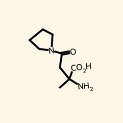 CC(N)(CC(=O)N1CCCC1)C(=O)O